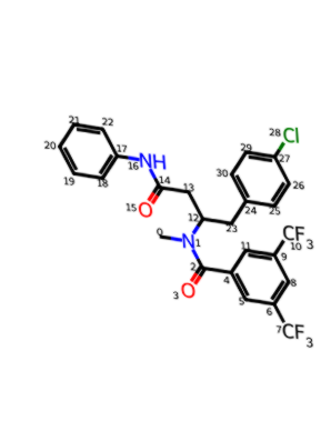 CN(C(=O)c1cc(C(F)(F)F)cc(C(F)(F)F)c1)C(CC(=O)Nc1ccccc1)Cc1ccc(Cl)cc1